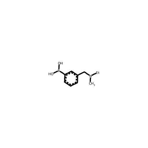 CCN(C)Cc1cccc(B(O)O)c1